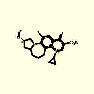 CCN[C@H]1CC2CCCc3c(c(F)cc4c(=O)c(C(=O)OCC)cn(C5CC5)c34)N2C1